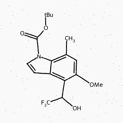 COc1cc(C)c2c(ccn2C(=O)OC(C)(C)C)c1C(O)C(F)(F)F